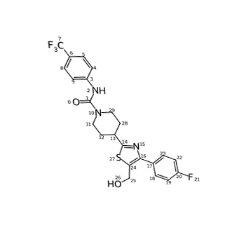 O=C(Nc1ccc(C(F)(F)F)cc1)N1CCC(c2nc(-c3ccc(F)cc3)c(CO)s2)CC1